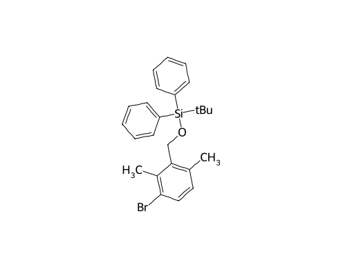 Cc1ccc(Br)c(C)c1CO[Si](c1ccccc1)(c1ccccc1)C(C)(C)C